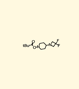 CC(C)(C)C(=O)ON1CCC(N2CC(F)(F)C2)CC1